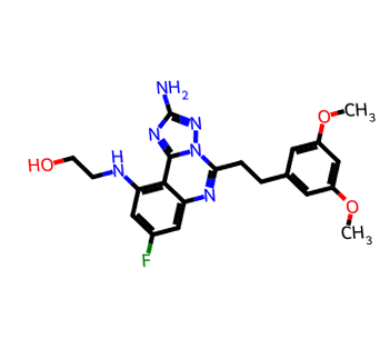 COc1cc(CCc2nc3cc(F)cc(NCCO)c3c3nc(N)nn23)cc(OC)c1